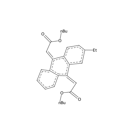 CCCCOC(=O)C=c1c2ccccc2c(=CC(=O)OCCCC)c2cc(CC)ccc12